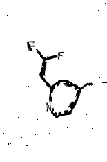 [CH2]c1ccnc(C=C(F)F)c1